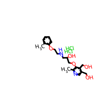 Cc1ccccc1OCCNCC(O)COc1c(C)ncc(CO)c1CO.Cl.Cl